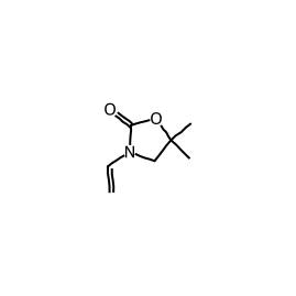 C=CN1CC(C)(C)OC1=O